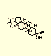 C#C[C@@]1(O)CC[C@@]2(C)[C@@H](CC[C@@H]3[C@@H]2CC[C@]2(C)[C@@H](C(C)(O)O)CC[C@@H]32)C1